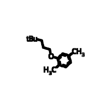 Cc1ccc(C)c(OCCCC(C)(C)C)c1